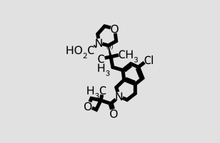 CC1(C(=O)N2CCc3cc(Cl)cc(CC(C)(C)[C@@H]4COCCN4C(=O)O)c3C2)COC1